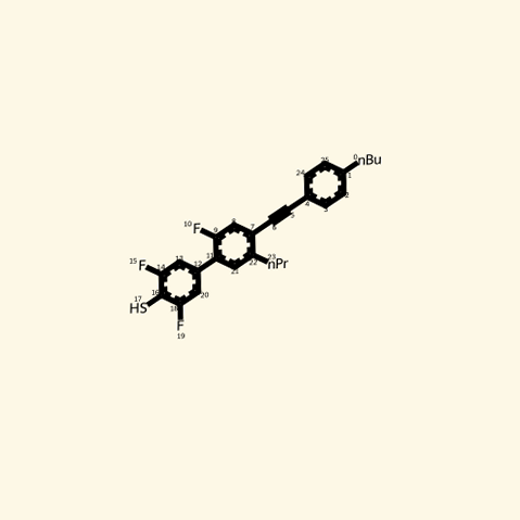 CCCCc1ccc(C#Cc2cc(F)c(-c3cc(F)c(S)c(F)c3)cc2CCC)cc1